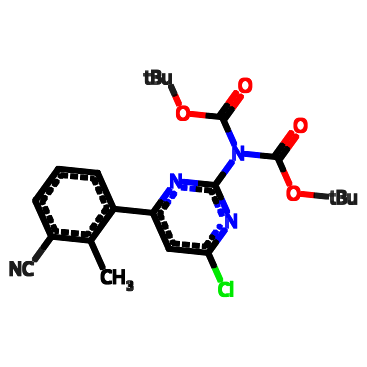 Cc1c(C#N)cccc1-c1cc(Cl)nc(N(C(=O)OC(C)(C)C)C(=O)OC(C)(C)C)n1